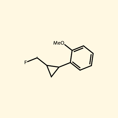 COc1ccccc1C1CC1[CH]F